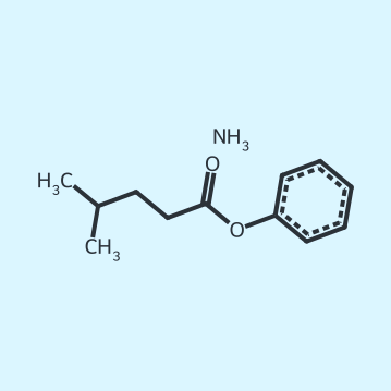 CC(C)CCC(=O)Oc1ccccc1.N